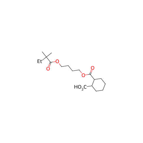 CCC(C)(C)C(=O)OCCCCOC(=O)C1CCCCC1C(=O)O